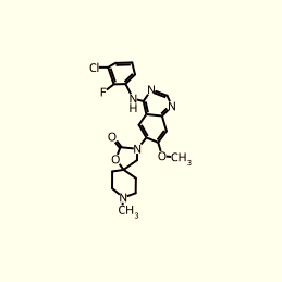 COc1cc2ncnc(Nc3cccc(Cl)c3F)c2cc1N1CC2(CCN(C)CC2)OC1=O